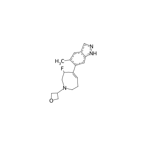 Cc1cc2cn[nH]c2cc1C1=CCCN(C2COC2)CC1F